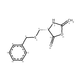 C=C1N[C@@H](CSCc2ccccc2)C(=O)O1